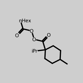 CCCCCCC(=O)OOC(=O)C1(C(C)C)CCC(C)CC1